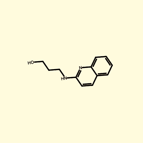 OCCCNc1ccc2ccccc2n1